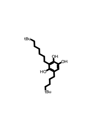 CC(C)(C)CCCCCCc1c(O)c(O)cc(CCCCC(C)(C)C)c1O